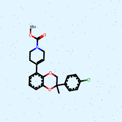 CC(C)(C)OC(=O)N1CC=C(c2cccc3c2OCC(C)(c2ccc(Cl)cc2)O3)CC1